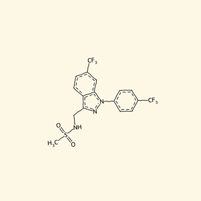 CS(=O)(=O)NCc1nn(-c2ccc(C(F)(F)F)cc2)c2cc(C(F)(F)F)ccc12